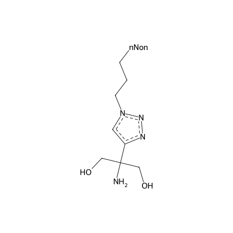 CCCCCCCCCCCCn1cc(C(N)(CO)CO)nn1